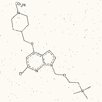 C[Si](C)(C)CCOCn1ccc2c(OCC3CCN(C(=O)O)CC3)cc(Cl)nc21